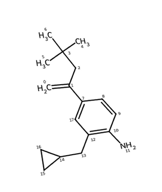 C=C(CC(C)(C)C)c1ccc(N)c(CC2CC2)c1